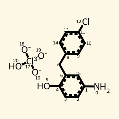 Nc1ccc(O)c(Cc2ccc(Cl)cc2)c1.[O-][Cl+3]([O-])([O-])O